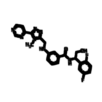 Cn1c(CNc2cccc(C(=O)NC(CO)c3cc(F)ccc3F)c2)nnc1-c1ccncn1